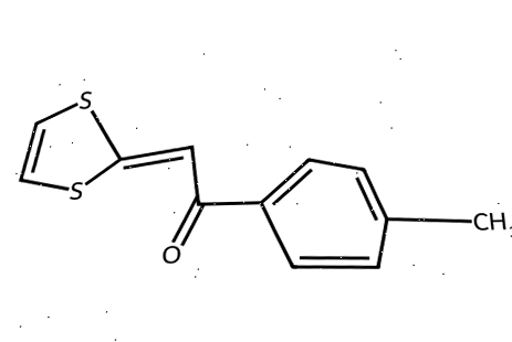 Cc1ccc(C(=O)C=C2SC=CS2)cc1